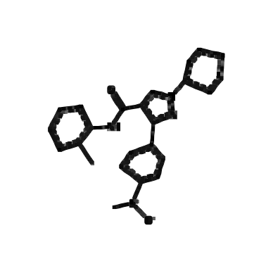 Cc1ccccc1NC(=O)c1cn(-c2ccccc2)nc1-c1ccc([S+](C)[O-])cc1